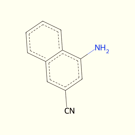 N#Cc1cc(N)c2ccccc2c1